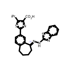 CC(C)c1sc(-c2ccc3c(c2)/C(=N/Nc2nc4ccccc4s2)CCCC3)nc1C(=O)O